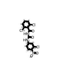 O=C(NC(=O)c1c(Cl)cccc1Cl)Nc1ccc([N+](=O)[O-])c(Cl)c1